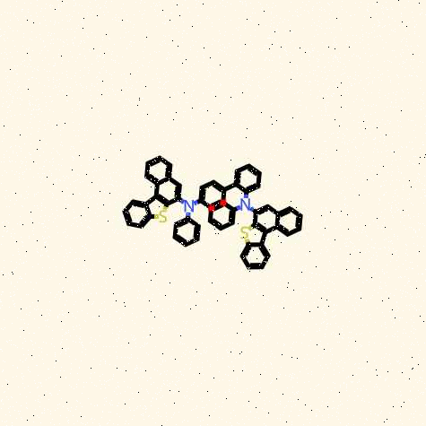 c1ccc(N(c2ccc(-c3ccccc3N(c3ccccc3)c3cc4ccccc4c4c3sc3ccccc34)cc2)c2cc3ccccc3c3c2sc2ccccc23)cc1